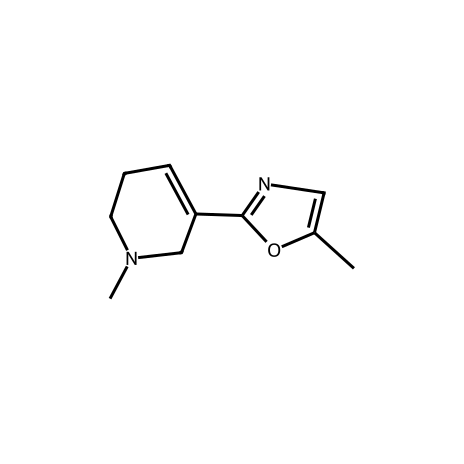 Cc1cnc(C2=CCCN(C)C2)o1